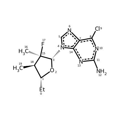 CC[C@H]1O[C@@H](n2cnc3c(Cl)nc(N)nc32)[C@](C)(F)[C@@H]1C